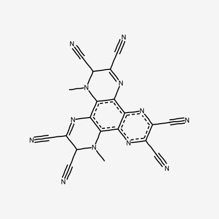 CN1c2c3c(c4nc(C#N)c(C#N)nc4c2N=C(C#N)C1C#N)N(C)C(C#N)C(C#N)=N3